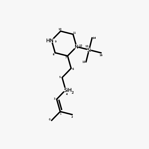 CC(C)=C[SiH2]CCC1CNCCN1[Si](C)(C)C